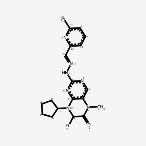 CCC1C(=O)N(C)c2cnc(NN=Cc3cccc(Cl)n3)nc2N1C1CCCC1